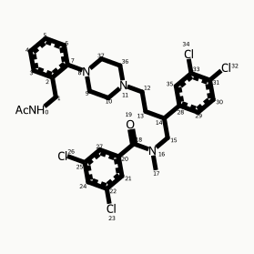 CC(=O)NCc1ccccc1N1CCN(CCC(CN(C)C(=O)c2cc(Cl)cc(Cl)c2)c2ccc(Cl)c(Cl)c2)CC1